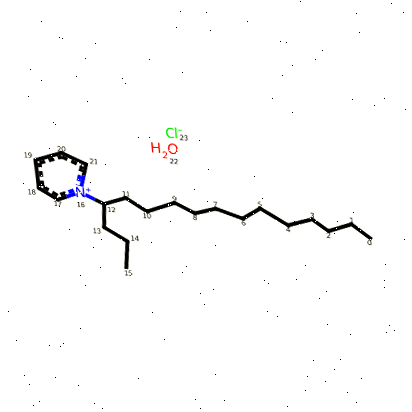 CCCCCCCCCCCCC(CCC)[n+]1ccccc1.O.[Cl-]